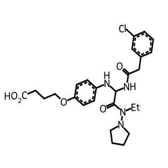 CCN(C(=O)C(NC(=O)Cc1cccc(Cl)c1)Nc1ccc(OCCCC(=O)O)cc1)N1CCCC1